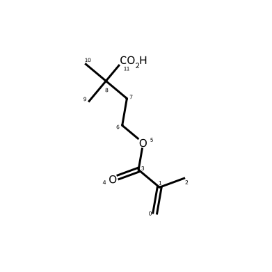 C=C(C)C(=O)OCCC(C)(C)C(=O)O